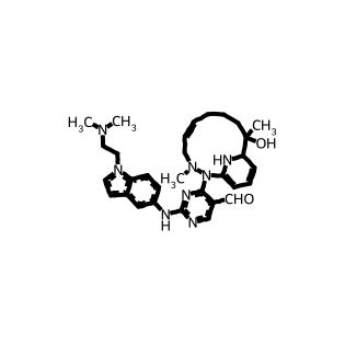 CN(C)CCn1ccc2cc(Nc3ncc(C=O)c(N4C5=CC=CC(N5)C(C)(O)CCC/C=C\CN4C)n3)ccc21